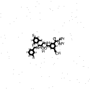 C#Cc1cc(C(=O)N[C@@H](Cc2cc(F)cc(F)c2)[C@H](O)CNCc2cccc(I)c2)cc(C(=O)N(CCC)CCC)c1